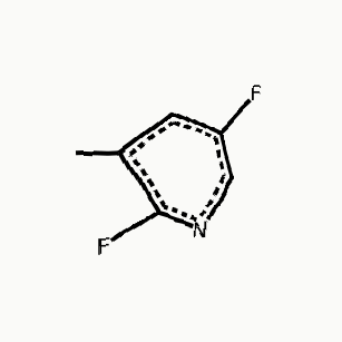 Cc1cc(F)cnc1F